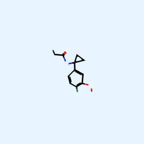 CCC(=O)NC1(c2ccc(F)c(OC)c2)CC1